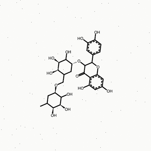 CC1C[C@@H](OCC2C[C@@H](OC3C(=O)c4c(O)cc(O)cc4OC3c3ccc(O)c(O)c3)C(O)[C@H](O)[C@@H]2O)C(O)[C@@H](O)[C@H]1O